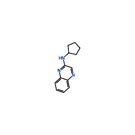 c1ccc2nc(NC3CCCC3)cnc2c1